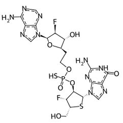 Nc1nc2c(ncn2[C@@H]2S[C@H](CO)[C@H](F)[C@H]2OP(=O)(S)OCC[C@H]2O[C@@H](n3cnc4c(N)ncnc43)[C@@H](F)[C@@H]2O)c(=O)[nH]1